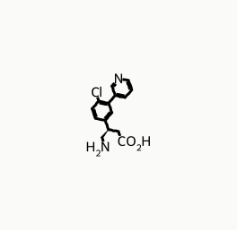 NC[C@H](CC(=O)O)c1ccc(Cl)c(-c2cccnc2)c1